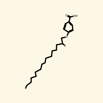 CCCCCCCCCCCCCCC(F)COc1ccc(C(=O)O)cc1